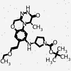 CCOC=Cc1cc2c(cc1N[C@H]1CCN(C(=O)OC(C)(C)C)C1)N1C(=NNC(=O)[C@H]1C)CO2